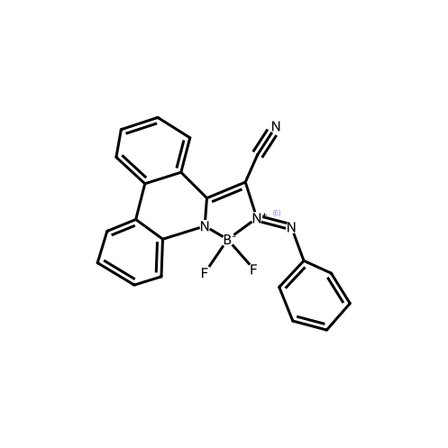 N#CC1=C2c3ccccc3-c3ccccc3N2[B-](F)(F)/[N+]1=N\c1ccccc1